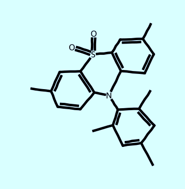 Cc1cc(C)c(N2c3ccc(C)cc3S(=O)(=O)c3cc(C)ccc32)c(C)c1